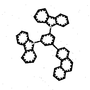 c1ccc2c(c1)ccc1ccc(-c3cc(-n4c5ccccc5c5ccccc54)cc(-n4c5ccccc5c5ccccc54)c3)cc12